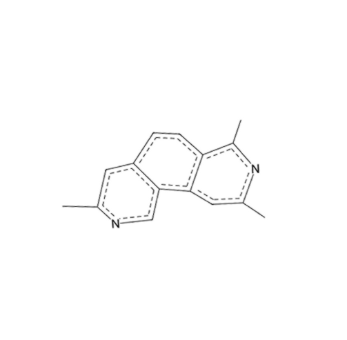 Cc1cc2ccc3c(C)nc(C)cc3c2cn1